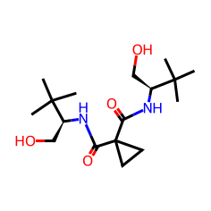 CC(C)(C)[C@H](CO)NC(=O)C1(C(=O)N[C@@H](CO)C(C)(C)C)CC1